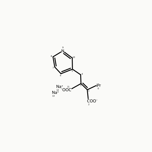 CC(C)/C(C(=O)[O-])=C(\Cc1cccnc1)C(=O)[O-].[Na+].[Na+]